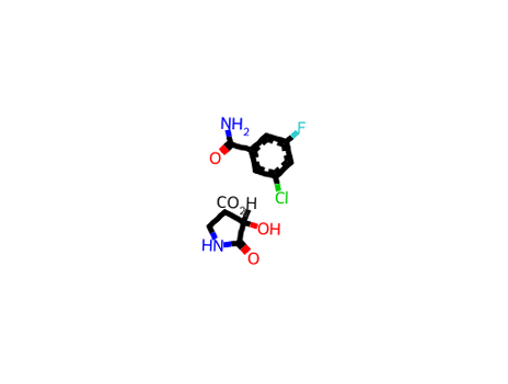 NC(=O)c1cc(F)cc(Cl)c1.O=C(O)C1(O)CCNC1=O